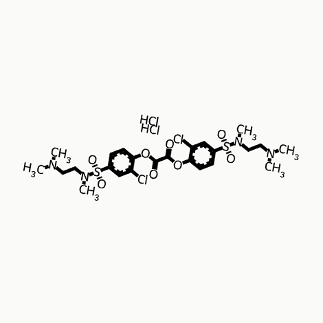 CN(C)CCN(C)S(=O)(=O)c1ccc(OC(=O)C(=O)Oc2ccc(S(=O)(=O)N(C)CCN(C)C)cc2Cl)c(Cl)c1.Cl.Cl